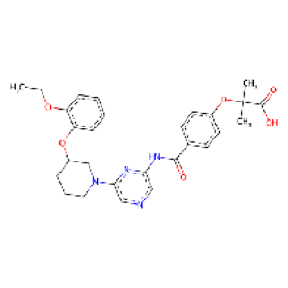 CCOc1ccccc1OC1CCCN(c2cncc(NC(=O)c3ccc(OC(C)(C)C(=O)O)cc3)n2)C1